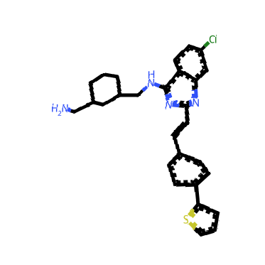 NCC1CCCC(CNc2nc(C=Cc3ccc(-c4cccs4)cc3)nc3cc(Cl)ccc23)C1